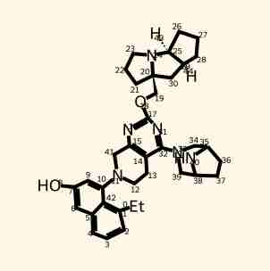 CCc1cccc2cc(O)cc(N3CCc4c(nc(OC[C@@]56CCCN5[C@H]5CCC[C@H]5C6)nc4N4CC5CCC(C4)N5)C3)c12